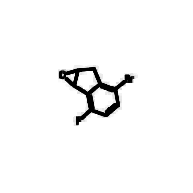 Fc1ccc(Br)c2c1C1OC1C2